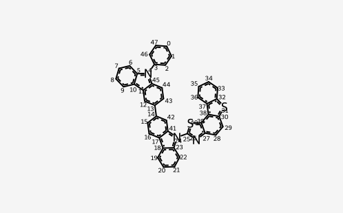 c1ccc(-n2c3ccccc3c3cc(-c4ccc5c6ccccc6n(-c6nc7ccc8sc9ccccc9c8c7s6)c5c4)ccc32)cc1